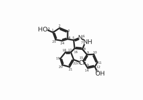 Oc1ccc(-c2n[nH]c(-c3ccc(O)cc3)c2-c2ccccc2C(F)(F)F)cc1